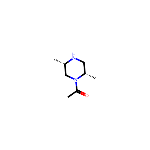 CC(=O)N1C[C@H](C)NC[C@@H]1C